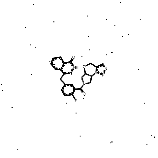 O=C(c1cc(Cc2n[nH]c(=O)c3ccccc23)ccc1F)N1CC2OCc3cnnn3C2C1